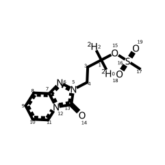 [2H]C([2H])(CCn1nc2ccccn2c1=O)OS(C)(=O)=O